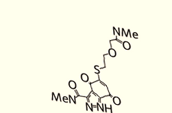 CNC(=O)COCCSC1=CC(=O)c2[nH]nc(C(=O)NC)c2C1=O